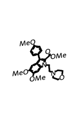 COC(=O)c1c(-c2ccc(OC)cc2)c2cc(OC)c(OC)cc2n1CCN1CCOCC1